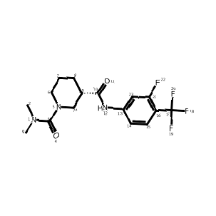 CN(C)C(=O)N1CCC[C@H](C(=O)Nc2ccc(C(F)(F)F)c(F)c2)C1